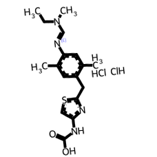 CCN(C)/C=N/c1cc(C)c(Cc2nc(NC(=O)O)cs2)cc1C.Cl.Cl